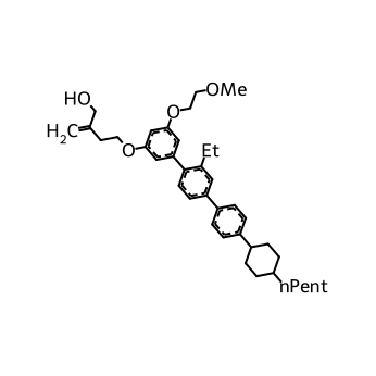 C=C(CO)CCOc1cc(OCCOC)cc(-c2ccc(-c3ccc(C4CCC(CCCCC)CC4)cc3)cc2CC)c1